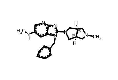 CNc1cnc2nc(N3C[C@H]4CN(C)C[C@H]4C3)n(Cc3ccccc3)c2c1